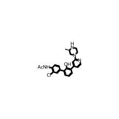 CC(=O)Nc1ccc(-c2cccc(-c3ccnc(N4CCN[C@H](C)C4)c3)c2O)cc1Cl